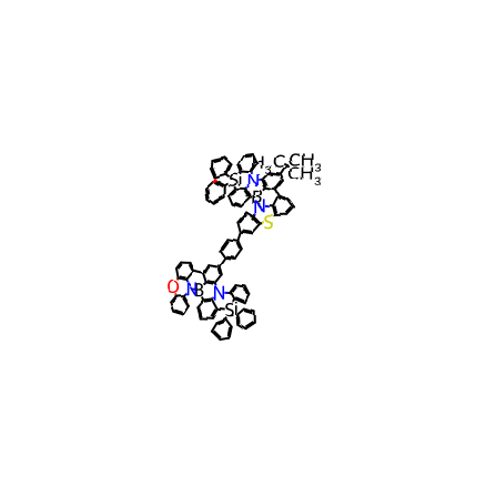 CC(C)(C)c1cc2c3c(c1)N1c4ccccc4[Si](c4ccccc4)(c4ccccc4)c4cccc(c41)B3N1c3ccc(-c4ccc(-c5cc6c7c(c5)N5c8ccccc8[Si](c8ccccc8)(c8ccccc8)c8cccc(c85)B7N5c7ccccc7Oc7cccc-6c75)cc4)cc3Sc3cccc-2c31